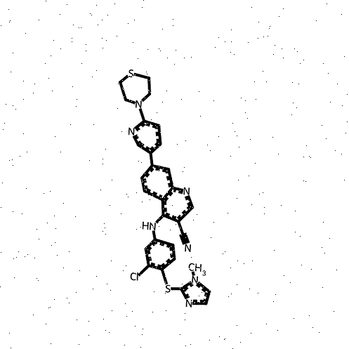 Cn1ccnc1Sc1ccc(Nc2c(C#N)cnc3cc(-c4ccc(N5CCSCC5)nc4)ccc23)cc1Cl